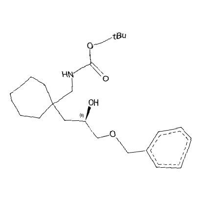 CC(C)(C)OC(=O)NCC1(C[C@@H](O)COCc2ccccc2)CCCCC1